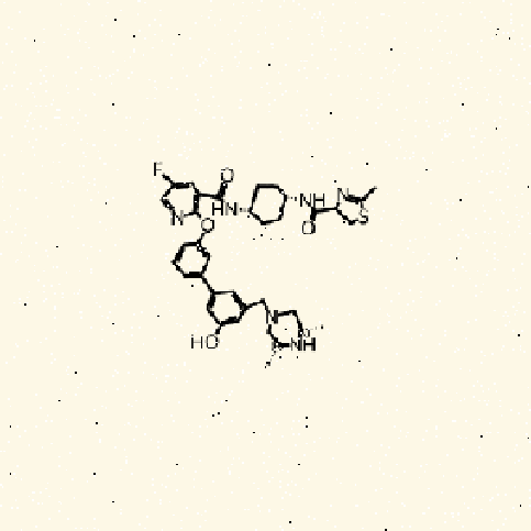 CC1=NC(C(=O)N[C@H]2CC[C@@H](NC(=O)c3cc(F)cnc3Oc3cccc(-c4cc(O)cc(CN5C[C@@H](C)N[C@@H](C)C5)c4)c3)CC2)CS1